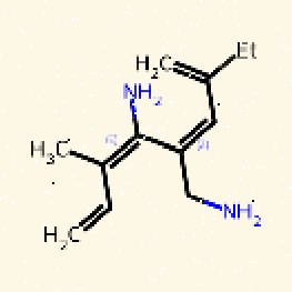 C=C/C(C)=C(N)\C(=C/C(=C)CC)CN